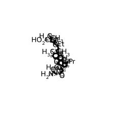 CC[C@H](CC[C@@]1(C)[C@H](C)CC[C@]2(C)[C@@H]1CC[C@@H]1C3=C(C(C)C)CC[C@]3(c3cc(=O)n(CC(N)=O)n3C)CC[C@]12C)OC(=O)CC(C)(C)C(=O)O